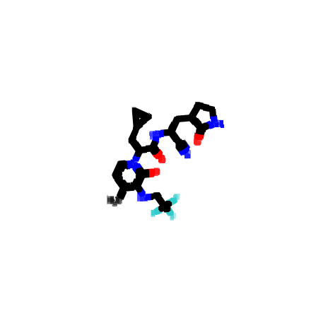 Cc1ccn(C(CC2CC2)C(=O)NC(C#N)CC2CCNC2=O)c(=O)c1NCC(F)(F)F